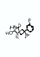 CN(C)[C@]1(c2cccc(F)c2)C[C@@]2(C1)NC(O)NC2=O